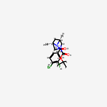 CC(C)(C)OC(=O)N1C[C@H]2C[C@@H](C1)N2C(=O)c1ccc(Br)c(F)c1